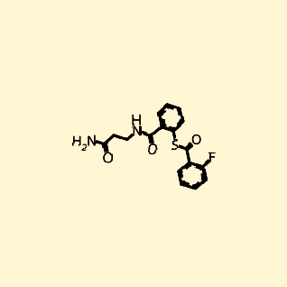 NC(=O)CCNC(=O)c1ccccc1SC(=O)c1ccccc1F